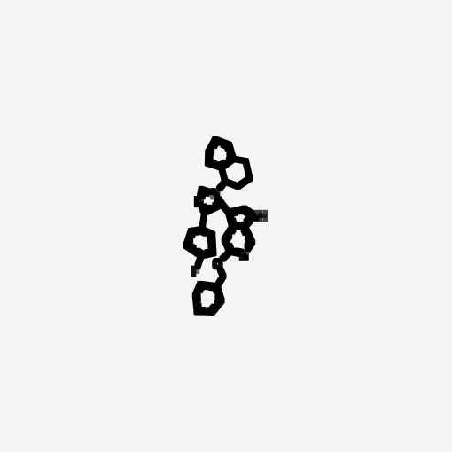 Fc1ccc(-c2ncn(C3CCCc4ccccc43)c2-c2c[nH]c3cnc(OCc4ccccc4)cc23)cc1